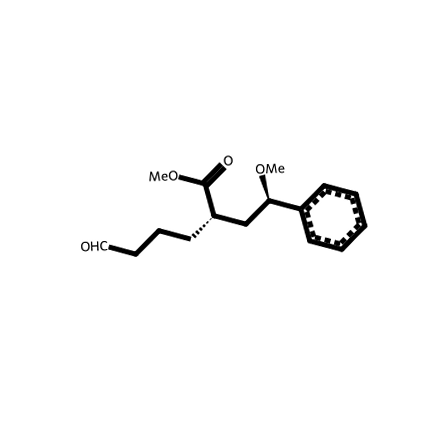 COC(=O)[C@@H](CCCC=O)C[C@@H](OC)c1ccccc1